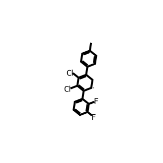 Cc1ccc(C2=C(Cl)C(Cl)=C(c3cccc(F)c3F)[CH]C2)cc1